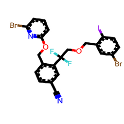 N#Cc1ccc(COc2cccc(Br)n2)c(C(F)(F)COCc2cc(Br)ccc2I)c1